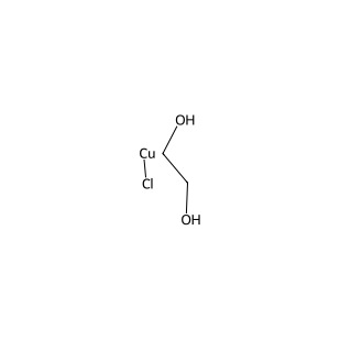 OCCO.[Cl][Cu]